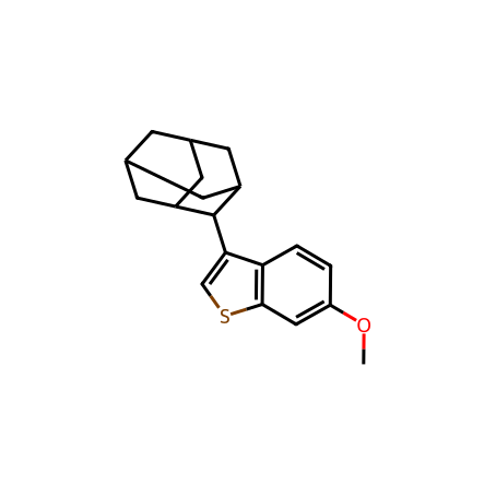 COc1ccc2c(C3C4CC5CC(C4)CC3C5)csc2c1